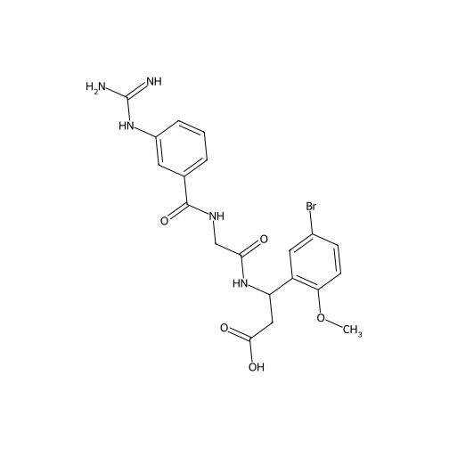 COc1ccc(Br)cc1C(CC(=O)O)NC(=O)CNC(=O)c1cccc(NC(=N)N)c1